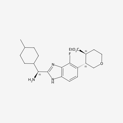 CCOC(=O)[C@H]1CCOC[C@@H]1c1ccc2[nH]c([C@@H](N)C3CCC(C)CC3)nc2c1F